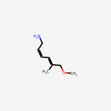 COC/C(C)=C/C=C\CN